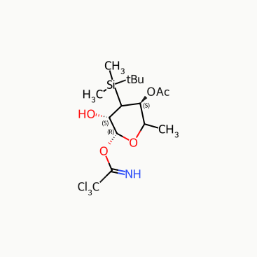 CC(=O)O[C@H]1C(C)O[C@H](OC(=N)C(Cl)(Cl)Cl)[C@H](O)C1[Si](C)(C)C(C)(C)C